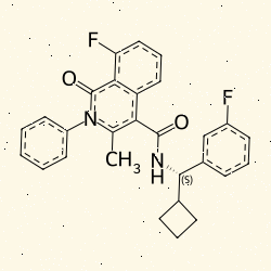 Cc1c(C(=O)N[C@H](c2cccc(F)c2)C2CCC2)c2cccc(F)c2c(=O)n1-c1ccccc1